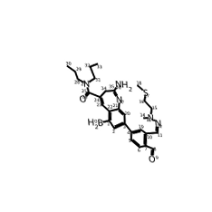 Bc1cc(-c2ccc(C=O)c(/C=N\N(C)CCSC)c2)cc2c1C=C(C(=O)N(CCC)CCC)CC(N)=N2